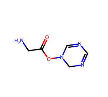 NCC(=O)ON1C=NC=NC1